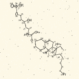 CC(C)CCC[C@@H](C)[C@H]1CC[C@H]2[C@@H]3CC=C4C[C@@H](OC(=O)NCCC(O)CCO[PH](=O)O)CC[C@]4(C)[C@H]3CC[C@]12C